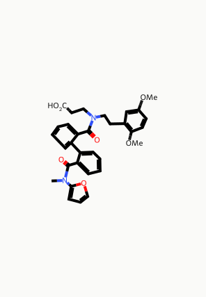 COc1ccc(OC)c(CCN(CCC(=O)O)C(=O)c2ccccc2-c2ccccc2C(=O)N(C)c2ccco2)c1